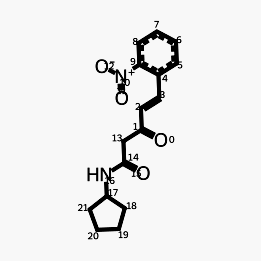 O=C(C=Cc1ccccc1[N+](=O)[O-])CC(=O)NC1CCCC1